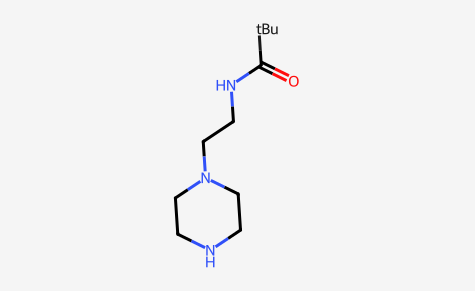 CC(C)(C)C(=O)NCCN1CCNCC1